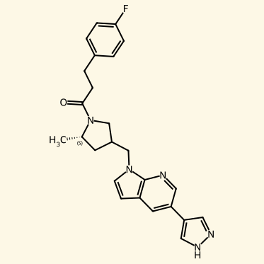 C[C@H]1CC(Cn2ccc3cc(-c4cn[nH]c4)cnc32)CN1C(=O)CCc1ccc(F)cc1